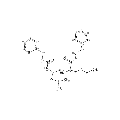 CCCCC(NCC(CC(C)C)NC(=O)OCc1ccccc1)C(=O)CSCc1ccccn1